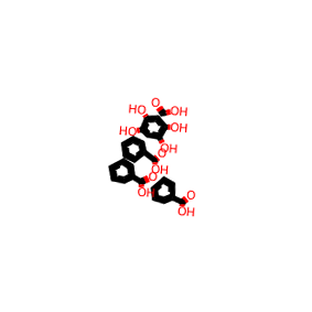 O=C(O)c1ccccc1.O=C(O)c1ccccc1.O=C(O)c1ccccc1.O=CO.Oc1cc(O)c(O)cc1O